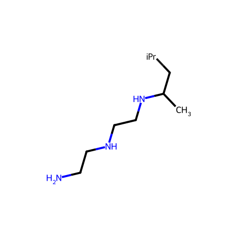 CC(C)CC(C)NCCNCCN